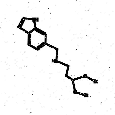 CCOC(CCNCc1ccc2[c]c[nH]c2c1)OCC